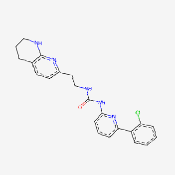 O=C(NCCc1ccc2c(n1)NCCC2)Nc1cccc(-c2ccccc2Cl)n1